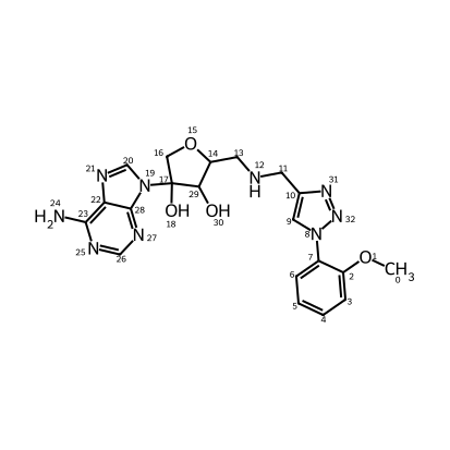 COc1ccccc1-n1cc(CNCC2OCC(O)(n3cnc4c(N)ncnc43)C2O)nn1